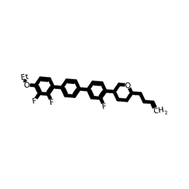 C=CCCC1CCC(c2ccc(-c3ccc(-c4ccc(OCC)c(F)c4F)cc3)cc2F)CO1